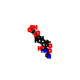 CC(C)C1=C2[C@H]3CC[C@@H]4[C@@]5(C)CC[C@H](OC(=O)[C@H]6C[C@@H](C(=O)O)C6(C)C)C(C)(C)[C@@H]5CC[C@@]4(C)[C@]3(C)CC[C@@]2([C@@H](O)CNC(=O)c2cccnc2)CC1=O